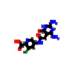 Nc1nc(N)c(CC(=O)Nc2cnc(C(=O)O)c(F)c2)c(=O)[nH]1